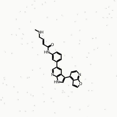 CNCC=CC(=O)Nc1cccc(-c2cnc3[nH]cc(-c4ccnc5occc45)c3c2)c1